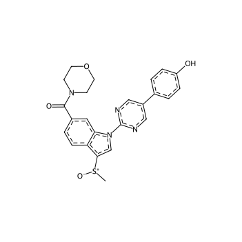 C[S+]([O-])c1cn(-c2ncc(-c3ccc(O)cc3)cn2)c2cc(C(=O)N3CCOCC3)ccc12